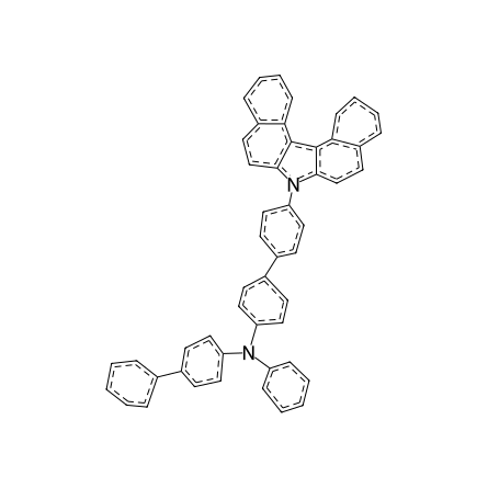 c1ccc(-c2ccc(N(c3ccccc3)c3ccc(-c4ccc(-n5c6ccc7ccccc7c6c6c7ccccc7ccc65)cc4)cc3)cc2)cc1